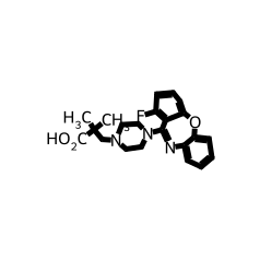 CC(C)(CN1CCN(C2=Nc3ccccc3Oc3cccc(F)c32)CC1)C(=O)O